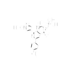 Cn1cc(-c2nc(-c3ccc(Cl)cc3)cc3c(=O)n(CC(C)(C)O)cnc23)cn1